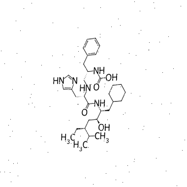 CC[C@@H](C[C@H](O)[C@H](CC1CCCCC1)NC(=O)[C@H](Cc1c[nH]cn1)NC[C@H](Cc1ccccc1)NC(=O)O)C(C)C